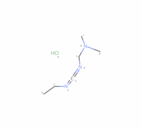 CCN=C=NCN(C)C.Cl